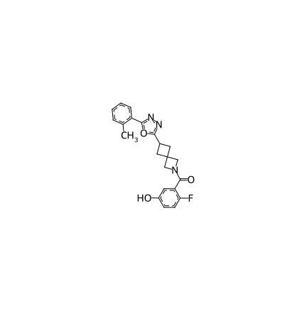 Cc1ccccc1-c1nnc(C2CC3(C2)CN(C(=O)c2cc(O)ccc2F)C3)o1